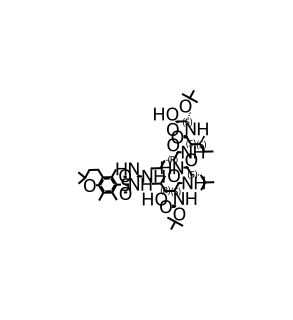 CC[C@H](C)[C@H](NC(=O)[C@@H](CCCNC(=N)NS(=O)(=O)c1c(C)c(C)c2c(c1C)CCC(C)(C)O2)NC(=O)[C@H](CC(C)C)NC(=O)[C@@H](NC(=O)OC(C)(C)C)[C@H](O)C(C)C)C(=O)N[C@@H](COC(C)(C)C)C(=O)O